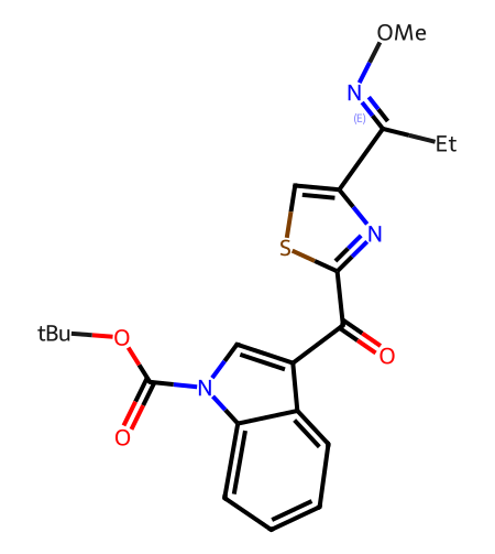 CC/C(=N\OC)c1csc(C(=O)c2cn(C(=O)OC(C)(C)C)c3ccccc23)n1